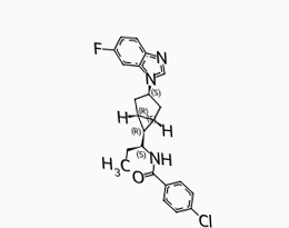 CC[C@H](NC(=O)c1ccc(Cl)cc1)[C@H]1[C@@H]2C[C@@H](n3cnc4ccc(F)cc43)C[C@@H]21